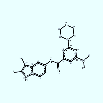 Cc1[nH]c2ccc(NC(=O)c3cc(N(C)C)nc(N4CCOCC4)n3)cc2c1C